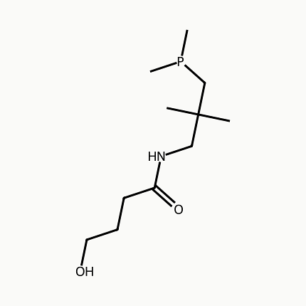 CP(C)CC(C)(C)CNC(=O)CCCO